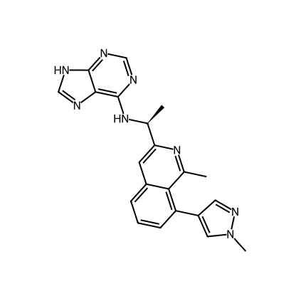 Cc1nc([C@H](C)Nc2ncnc3[nH]cnc23)cc2cccc(-c3cnn(C)c3)c12